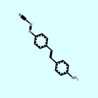 N#CN=Nc1ccc(C=Cc2ccc(N)cc2)cc1